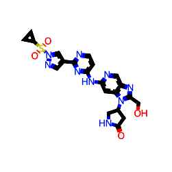 O=C1CC(n2c(CO)nc3cnc(Nc4ccnc(-c5cnn(S(=O)(=O)C6CC6)c5)n4)cc32)CN1